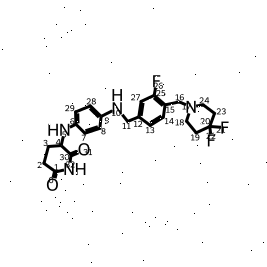 O=C1CCC(Nc2ccc(NCc3ccc(CN4CCC(F)(F)CC4)c(F)c3)cc2)C(=O)N1